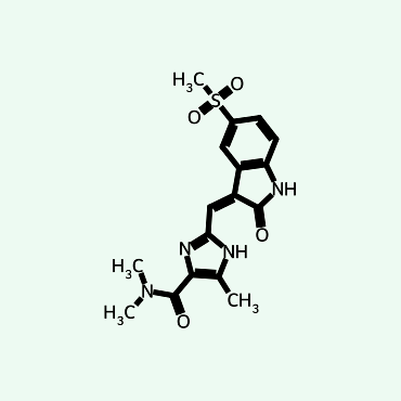 Cc1[nH]c(/C=C2\C(=O)Nc3ccc(S(C)(=O)=O)cc32)nc1C(=O)N(C)C